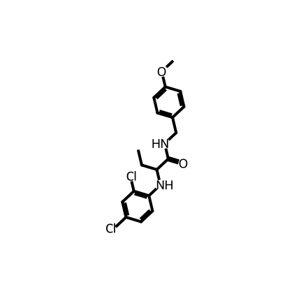 CCC(Nc1ccc(Cl)cc1Cl)C(=O)NCc1ccc(OC)cc1